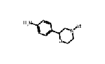 CCN1CCOC(c2ccc(N)cc2)C1